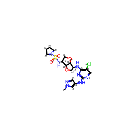 Cn1cc(Nc2ncc(Cl)c(NC3COC4C3OC[C@H]4NS(=O)(=O)N3CCCC3)n2)cn1